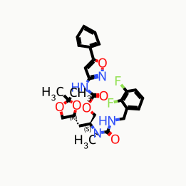 CN(C(=O)NCc1cccc(F)c1F)[C@H](COC(=O)Nc1cc(-c2ccccc2)on1)C[C@@H]1COC(C)(C)O1